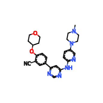 CN1CCN(c2ccc(Nc3cc(-c4ccc(OC5CCOCC5)c(C#N)c4)ncn3)nc2)CC1